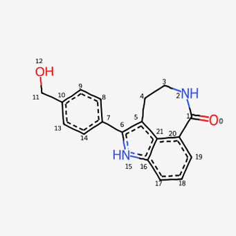 O=C1NCCc2c(-c3ccc(CO)cc3)[nH]c3cccc1c23